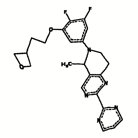 CC1c2cnc(-c3ncccn3)nc2CCN1c1cc(F)c(F)c(OCCC2COC2)c1